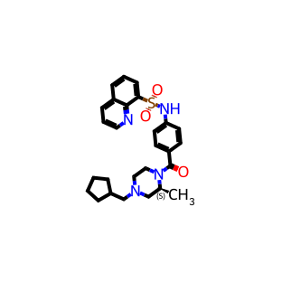 C[C@H]1CN(CC2CCCC2)CCN1C(=O)c1ccc(NS(=O)(=O)c2cccc3cccnc23)cc1